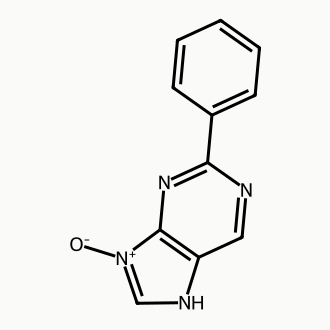 [O-][n+]1c[nH]c2cnc(-c3ccccc3)nc21